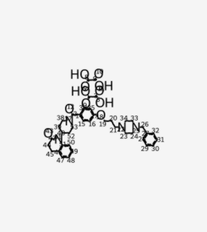 O=C(O)C(=O)O.O=C(O)C(=O)O.O=C(c1ccc(OCCCN2CCN(Cc3ccccc3)CC2)cc1)N1CCC(N2C(=O)CCc3ccccc32)CC1